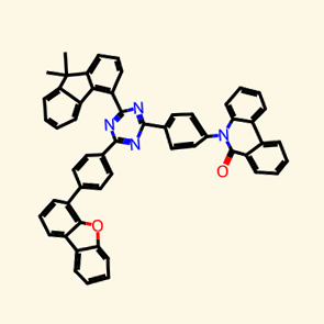 CC1(C)c2ccccc2-c2c(-c3nc(-c4ccc(-c5cccc6c5oc5ccccc56)cc4)nc(-c4ccc(-n5c(=O)c6ccccc6c6ccccc65)cc4)n3)cccc21